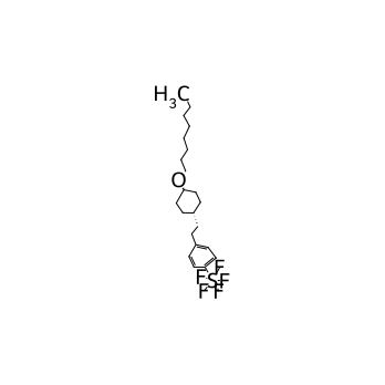 CCCCCCCCO[C@H]1CC[C@H](CCc2ccc(S(F)(F)(F)(F)F)cc2)CC1